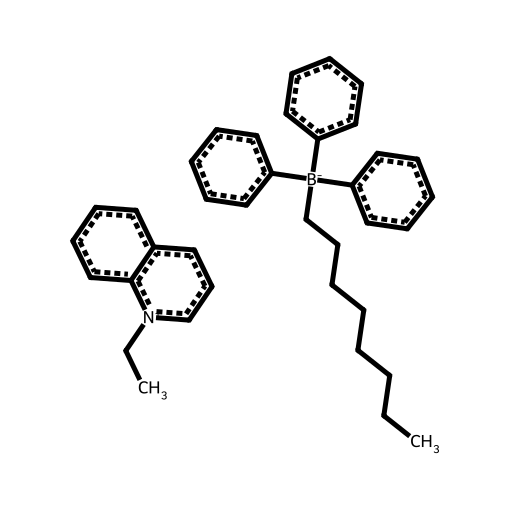 CCCCCCCC[B-](c1ccccc1)(c1ccccc1)c1ccccc1.CC[n+]1cccc2ccccc21